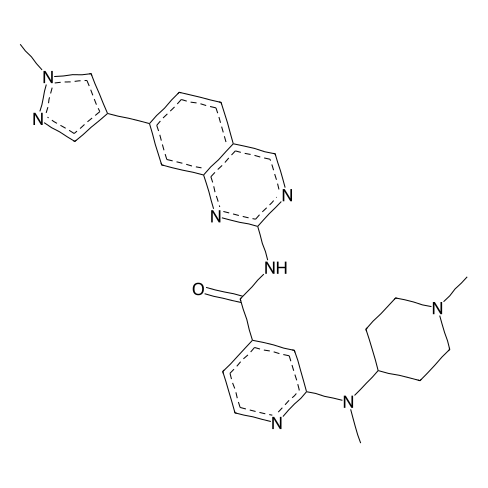 CN1CCC(N(C)c2cc(C(=O)Nc3ncc4ccc(-c5cnn(C)c5)cc4n3)ccn2)CC1